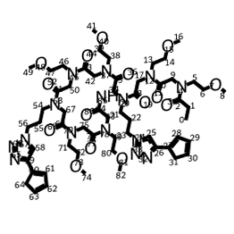 CCC(=O)N(CCOC)CC(=O)N(CCOC)CC(=O)N(CCCn1cc(C2=CC=CC2)nn1)CC(=O)N(CCOC)CC(=O)N(CCOC)CC(=O)N(CCCn1cc(C2=CC=CC2)nn1)CC(=O)N(CCOC)CC(=O)N(CCOC)CC(N)=O